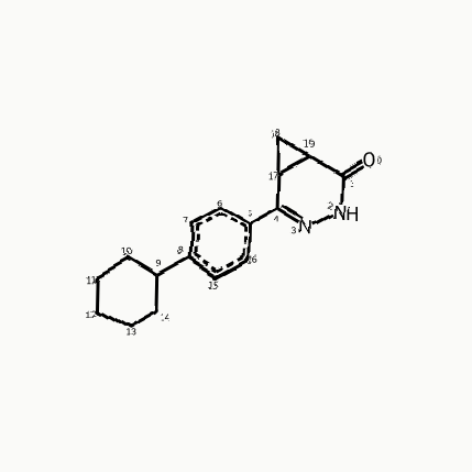 O=C1NN=C(c2ccc(C3CCCCC3)cc2)C2CC12